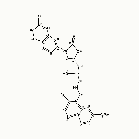 COc1ccc2ncc(F)c(CNC[C@@H](O)C[C@@H]3CN(c4ccc5c(c4)NC(=O)CO5)C(=O)O3)c2c1